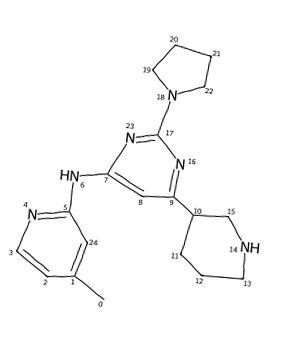 Cc1ccnc(Nc2cc(C3CCCNC3)nc(N3CCCC3)n2)c1